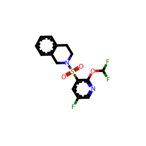 O=S(=O)(c1cc(F)cnc1OC(F)F)N1CCc2ccccc2C1